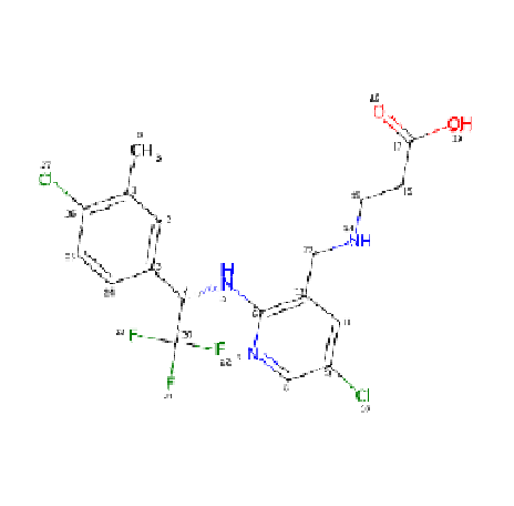 Cc1cc([C@H](Nc2ncc(Cl)cc2CNCCC(=O)O)C(F)(F)F)ccc1Cl